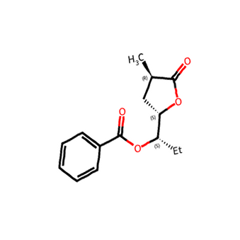 CC[C@H](OC(=O)c1ccccc1)[C@@H]1C[C@@H](C)C(=O)O1